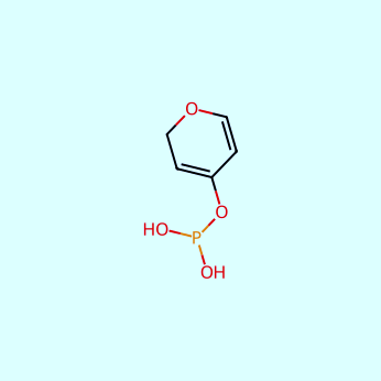 OP(O)OC1=CCOC=C1